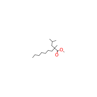 CCCCCCCC(C)(CC(C)C)C(=O)OC